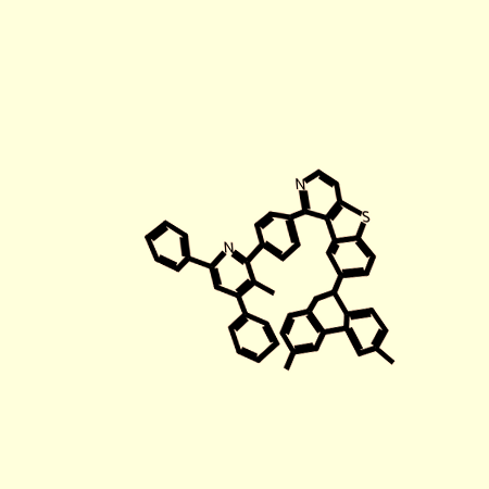 Cc1ccc2c(c1)-c1cc(C)ccc1C(c1ccc3sc4ccnc(-c5ccc(-c6nc(-c7ccccc7)cc(-c7ccccc7)c6C)cc5)c4c3c1)C2